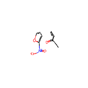 C=CC(C)=O.O=[N+]([O-])c1ccco1